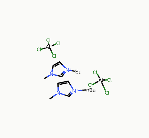 CCCC[n+]1ccn(C)c1.CC[n+]1ccn(C)c1.[Cl][Al-]([Cl])([Cl])[Cl].[Cl][Al-]([Cl])([Cl])[Cl]